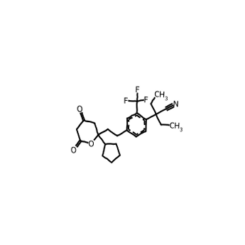 CCC(C#N)(CC)c1ccc(CCC2(C3CCCC3)CC(=O)CC(=O)O2)cc1C(F)(F)F